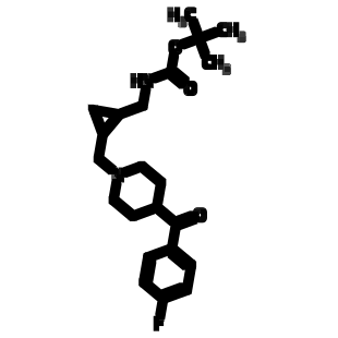 CC(C)(C)OC(=O)NCC1CC1CN1CCC(C(=O)c2ccc(F)cc2)CC1